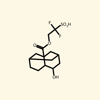 O=C(OCC(F)(F)S(=O)(=O)O)C12CC3CCC1C(O)CC(C3)C2